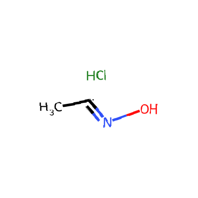 C[C]=NO.Cl